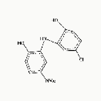 CNc1ccc(O)c(Nc2cc(Cl)ccc2O)c1